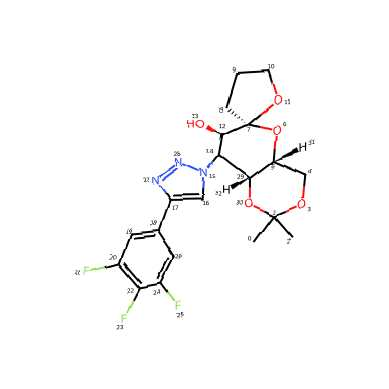 CC1(C)OC[C@H]2O[C@@]3(CCCO3)[C@H](O)C(n3cc(-c4cc(F)c(F)c(F)c4)nn3)[C@H]2O1